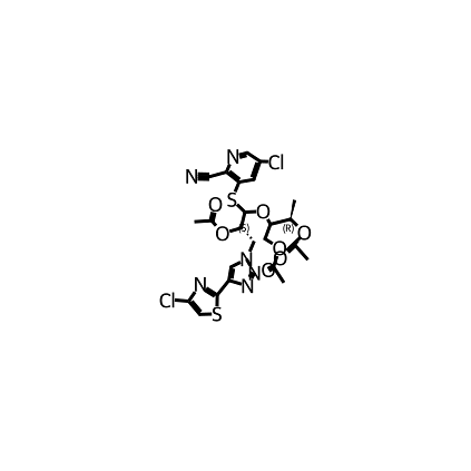 CC(=O)OCC(OC(Sc1cc(Cl)cnc1C#N)[C@H](Cn1cc(-c2nc(Cl)cs2)nn1)OC(C)=O)[C@@H](C)OC(C)=O